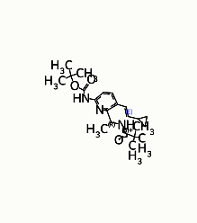 C[C@@H](N[S@+]([O-])C(C)(C)C)c1nc(NC(=O)OC(C)(C)C)ccc1/C=C/C1CC1